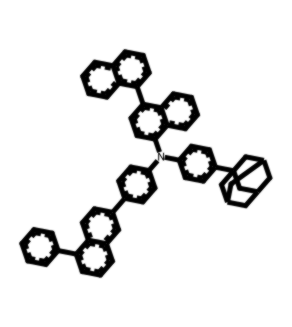 c1ccc(-c2cccc3cc(-c4ccc(N(c5ccc(C67CC8CC(CC(C8)C6)C7)cc5)c5ccc(-c6cccc7ccccc67)c6ccccc56)cc4)ccc23)cc1